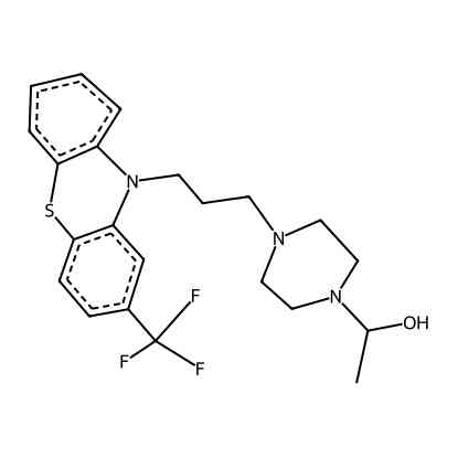 CC(O)N1CCN(CCCN2c3ccccc3Sc3ccc(C(F)(F)F)cc32)CC1